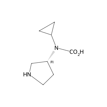 O=C(O)N(C1CC1)[C@@H]1CCNC1